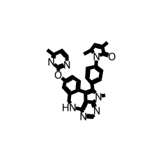 CC1=CC(C)N(c2ccc(-c3c4c5c(ncnc5n3C)NCc3cc(Oc5nccc(C)n5)ccc3-4)cc2)C1=O